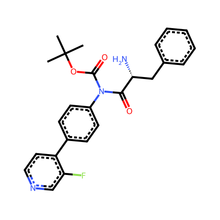 CC(C)(C)OC(=O)N(C(=O)[C@H](N)Cc1ccccc1)c1ccc(-c2ccncc2F)cc1